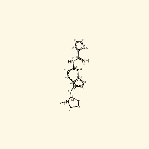 CN1CCC[C@H]1Cn1ccc2cc(NC(=N)c3cccs3)ccc21